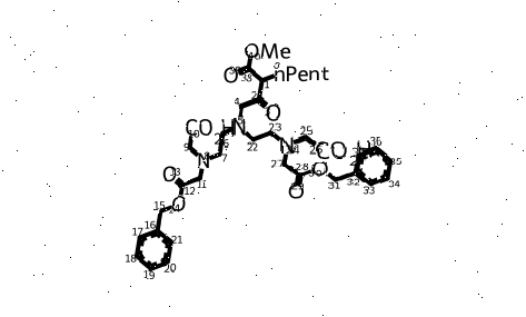 CCCCCC(C(=O)CN(CCN(CC(=O)O)CC(=O)OCc1ccccc1)CCN(CC(=O)O)CC(=O)OCc1ccccc1)C(=O)OC